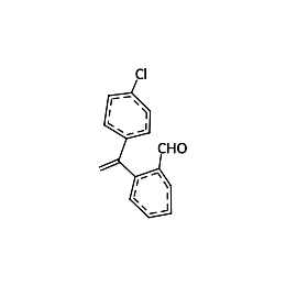 C=C(c1ccc(Cl)cc1)c1ccccc1C=O